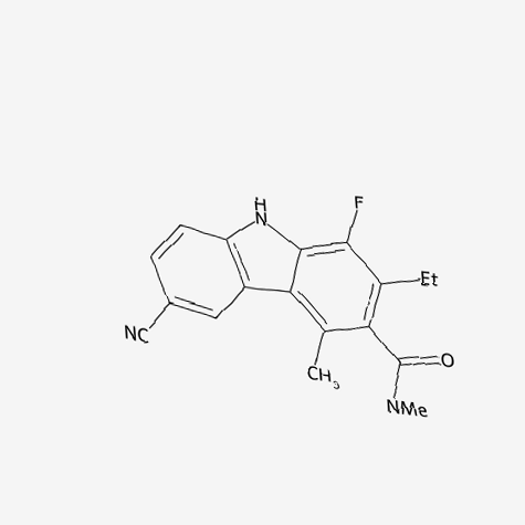 CCc1c(C(=O)NC)c(C)c2c([nH]c3ccc(C#N)cc32)c1F